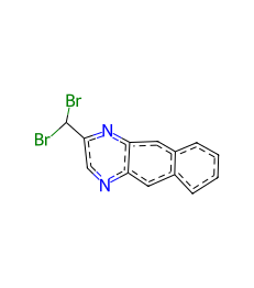 BrC(Br)c1cnc2cc3ccccc3cc2n1